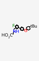 CC(C)(C)C1CCC(Oc2ccc(-c3ccc(F)c(CNCCC(=O)O)c3)cc2)CC1